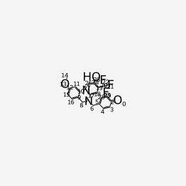 COc1ccc(CN(Cc2ccc(OC)cc2)c2cc(C(F)(F)F)c(O)cn2)cc1